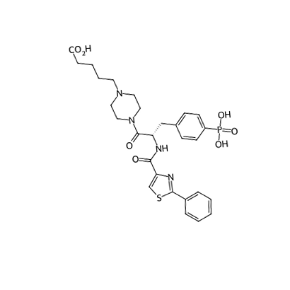 O=C(O)CCCCN1CCN(C(=O)[C@H](Cc2ccc(P(=O)(O)O)cc2)NC(=O)c2csc(-c3ccccc3)n2)CC1